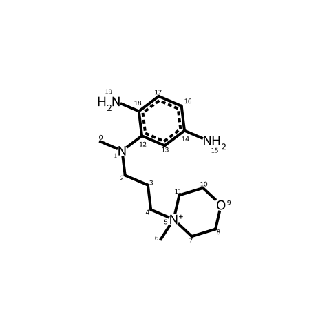 CN(CCC[N+]1(C)CCOCC1)c1cc(N)ccc1N